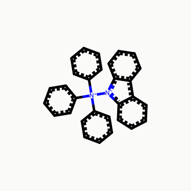 c1ccc([N+](c2ccccc2)(c2ccccc2)n2c3ccccc3c3ccccc32)cc1